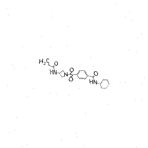 C=CC(=O)NC1CN(S(=O)(=O)c2ccc(C(=O)NC3CCCCC3)cc2)C1